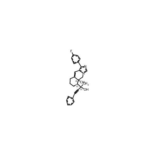 C[C@]12Cn3cnc(-c4ccc(F)cc4)c3C=C1CCC[C@@H]2[C@](C)(O)C#Cc1ccccc1